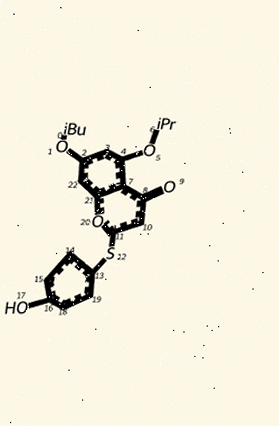 CCC(C)Oc1cc(OC(C)C)c2c(=O)cc(Sc3ccc(O)cc3)oc2c1